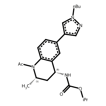 CCCCn1cc(-c2ccc3c(c2)[C@H](NC(=O)OC(C)C)C[C@H](C)N3C(C)=O)cn1